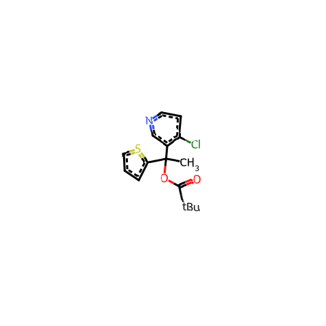 CC(C)(C)C(=O)OC(C)(c1cccs1)c1cnccc1Cl